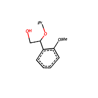 COc1ccccc1C(CO)OC(C)C